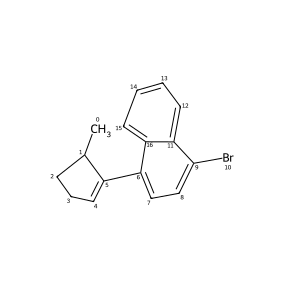 CC1CCC=C1c1ccc(Br)c2ccccc12